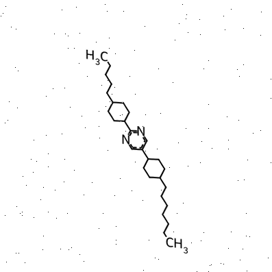 CCCCCCCC1CCC(c2cnc(C3CCC(CCCCC)CC3)nc2)CC1